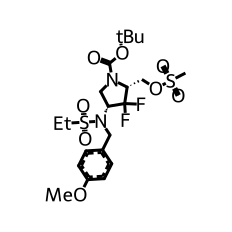 CCS(=O)(=O)N(Cc1ccc(OC)cc1)[C@@H]1CN(C(=O)OC(C)(C)C)[C@H](COS(C)(=O)=O)C1(F)F